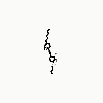 CCCCCCc1ccc(C#Cc2ccc(OCCCC)c(F)c2F)nc1